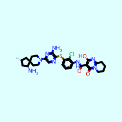 C[C@H]1C[C@@H](N)C2(CCN(c3cnc(Sc4cccc(NC(=O)c5c(O)nc6n(c5=O)CCCC6)c4Cl)c(N)n3)CC2)C1